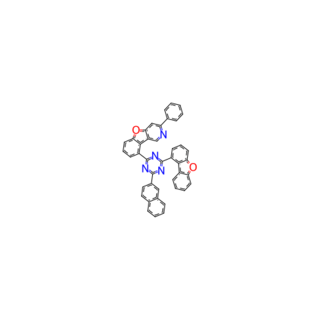 c1ccc(-c2cc3oc4cccc(-c5nc(-c6ccc7ccccc7c6)nc(-c6cccc7oc8ccccc8c67)n5)c4c3cn2)cc1